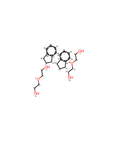 OCCOCCO.OCCOCCO.c1ccc2c(c1)CCC2.c1ccc2c(c1)CCC2